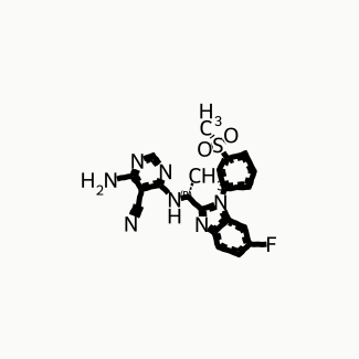 C[C@@H](Nc1ncnc(N)c1C#N)c1nc2ccc(F)cc2n1-c1cccc(S(C)(=O)=O)c1